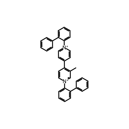 Cc1c[n+](-c2ccccc2-c2ccccc2)ccc1-c1cc[n+](-c2ccccc2-c2ccccc2)cc1